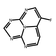 FC1=CN=C2N=CN=C3N=CC=C1N32